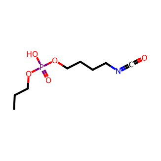 CCCOP(=O)(O)OCCCCN=C=O